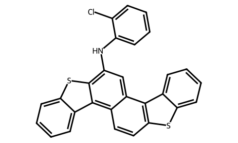 Clc1ccccc1Nc1cc2c(ccc3sc4ccccc4c32)c2c1sc1ccccc12